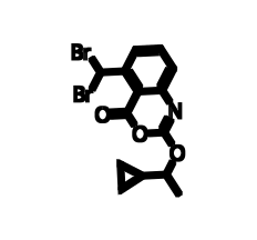 CC(Oc1nc2cccc(C(Br)Br)c2c(=O)o1)C1CC1